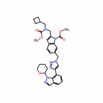 CC(C)(C)OC(=O)N(Cc1cc2ccc(Cn3cc(-c4cccc5cnn(C6CCCCO6)c45)nn3)cc2n1C(=O)OC(C)(C)C)CC1CCC1